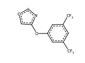 FC(F)(F)c1cc(Oc2co[c]n2)cc(C(F)(F)F)c1